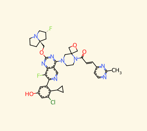 Cc1nccc(/C=C/C(=O)N2CCN(c3nc(OC[C@@]45CCCN4C[C@H](F)C5)nc4c(F)c(-c5cc(O)cc(Cl)c5C5CC5)ncc34)CC23COC3)n1